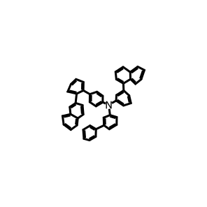 c1ccc(-c2cccc(N(c3ccc(-c4ccccc4-c4ccc5ccccc5c4)cc3)c3cccc(-c4cccc5ccccc45)c3)c2)cc1